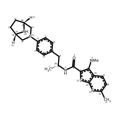 CNc1c(C(=O)N[C@H](C)Cc2ccc(N3C[C@H]4CC[C@@H](C3)N4)cc2)sc2nc(C)ccc12